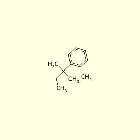 C.CCC(C)(C)c1ccccc1